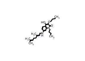 CCCCOc1c(O)c2ccc(NC/C=C(\C)CCC=C(C)C)cc2n(CCCC)c1=O